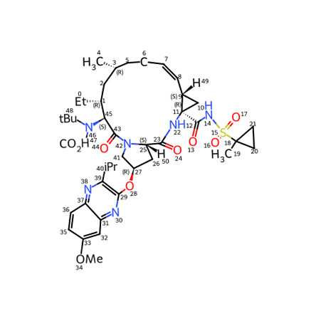 CC[C@@H]1C[C@H](C)CCC=C[C@@H]2C[C@@]2(C(=O)NS(=O)(=O)C2(C)CC2)NC(=O)[C@@H]2C[C@@H](Oc3nc4cc(OC)ccc4nc3C(C)C)CN2C(=O)[C@H]1N(C(=O)O)C(C)(C)C